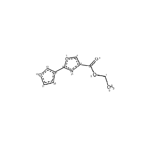 CCOC(=O)c1coc(-c2ccoc2)n1